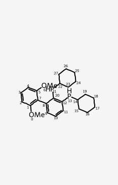 COc1cccc(OC)c1-c1cccc(PC2CCCCC2)c1PC1CCCCC1